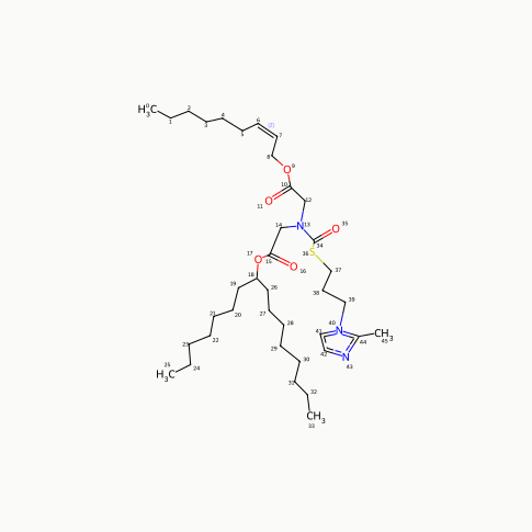 CCCCCC/C=C\COC(=O)CN(CC(=O)OC(CCCCCCC)CCCCCCCC)C(=O)SCCCn1ccnc1C